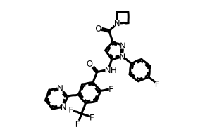 O=C(Nc1cc(C(=O)N2CCC2)nn1-c1ccc(F)cc1)c1cc(-c2ncccn2)c(C(F)(F)F)cc1F